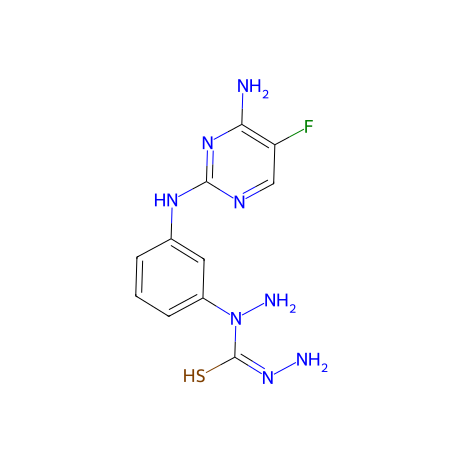 N/N=C(/S)N(N)c1cccc(Nc2ncc(F)c(N)n2)c1